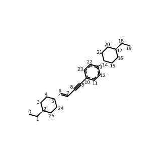 CC[C@H]1CC[C@H](/C=C/C#Cc2ccc([C@H]3CC[C@H](CC)CC3)cc2)CC1